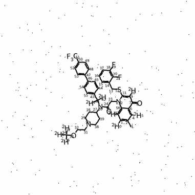 [2H]c1c(C)c([2H])c2c(=O)c([2H])c(SCc3cccc(F)c3F)n(CC(=O)N(C3CCN(CCOC([2H])([2H])[2H])CC3)C([2H])([2H])c3ccc(-c4ccc(C(F)(F)F)cc4)cc3)c2c1[2H]